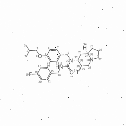 CC(C)COc1ccc(CN(C(=O)NCc2ccc(F)cc2)[C@@H]2C[C@H]3CCCN3C[C@H]2F)cc1